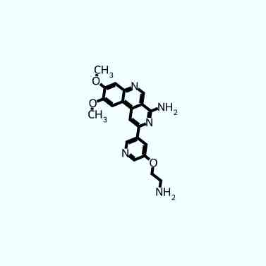 COc1cc2ncc3c(N)nc(-c4cncc(OCCN)c4)cc3c2cc1OC